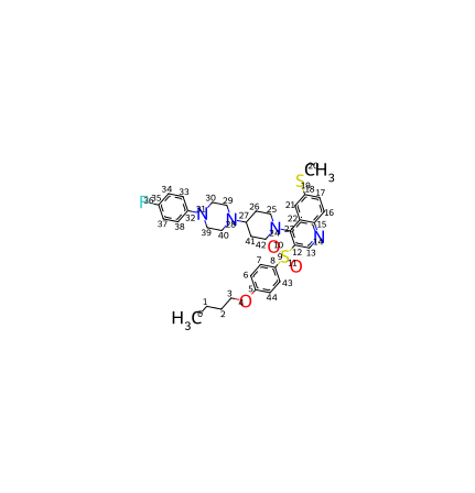 CCCCOc1ccc(S(=O)(=O)c2cnc3ccc(SC)cc3c2N2CCC(N3CCN(c4ccc(F)cc4)CC3)CC2)cc1